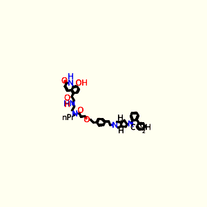 CCCN(CCNC[C@H](O)c1ccc(O)c2[nH]c(=O)ccc12)C(=O)CCOCCc1ccc(CCN2C[C@H]3CC(N(C(=O)O)c4ccccc4-c4ccccc4)C[C@H]3C2)cc1